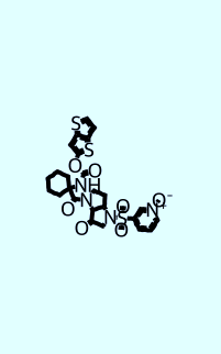 O=C(NC1(C(=O)N2CCC3C2C(=O)CN3S(=O)(=O)c2ccc[n+]([O-])c2)CCCCC1)Oc1cc2sccc2s1